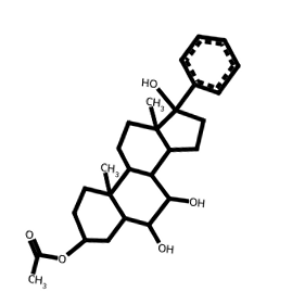 CC(=O)OC1CCC2(C)C(C1)C(O)C(O)C1C2CCC2(C)C1CCC2(O)c1ccccc1